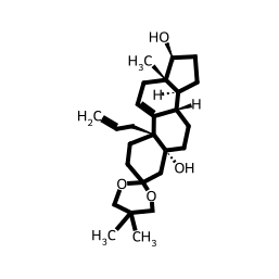 C=CC[C@]12CCC3(C[C@]1(O)CC[C@@H]1C2=CC[C@]2(C)[C@@H](O)CC[C@@H]12)OCC(C)(C)CO3